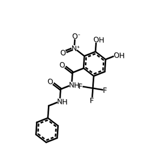 O=C(NCc1ccccc1)NC(=O)c1c(C(F)(F)F)cc(O)c(O)c1[N+](=O)[O-]